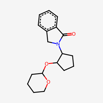 O=C1c2ccccc2CN1C1CCCC1OC1CCCCO1